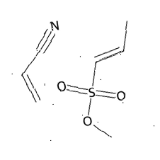 C=CC#N.CC=CS(=O)(=O)OC